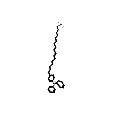 CCCCCCCCCCCCCCCCCCc1ccc([S+](c2ccccc2)c2ccccc2)cc1